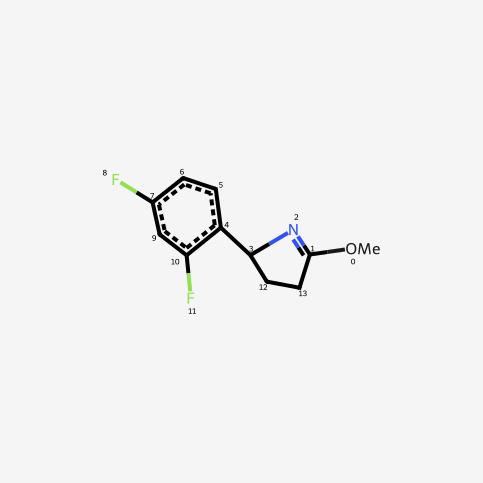 COC1=NC(c2ccc(F)cc2F)CC1